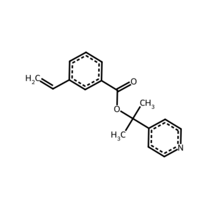 C=Cc1cccc(C(=O)OC(C)(C)c2ccncc2)c1